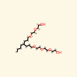 CCCCC(CCCOCCOCCO)CCCOCCOCCOCCO